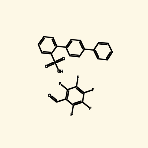 O=Cc1c(F)c(F)c(F)c(F)c1F.O=S(=O)(O)c1ccccc1-c1ccc(-c2ccccc2)cc1